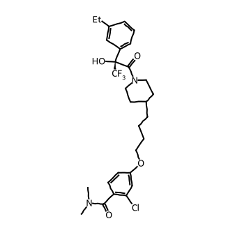 CCc1cccc([C@@](O)(C(=O)N2CCC(CCCCOc3ccc(C(=O)N(C)C)c(Cl)c3)CC2)C(F)(F)F)c1